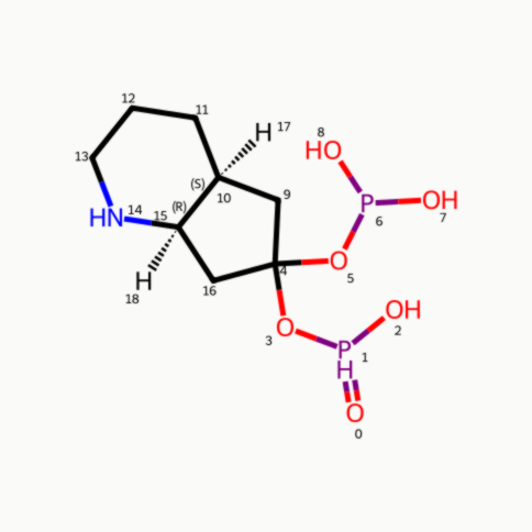 O=[PH](O)OC1(OP(O)O)C[C@@H]2CCCN[C@@H]2C1